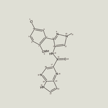 COc1ccc(Cl)cc1-c1nn(C)cc1NC(=O)c1cnc2[nH]ccc2n1